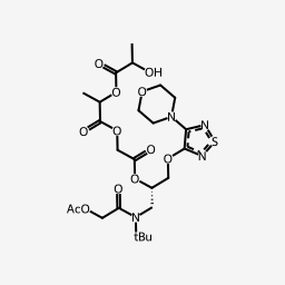 CC(=O)OCC(=O)N(C[C@@H](COc1nsnc1N1CCOCC1)OC(=O)COC(=O)C(C)OC(=O)C(C)O)C(C)(C)C